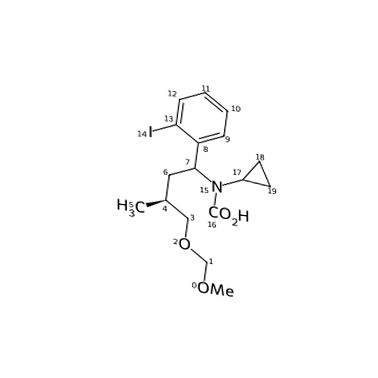 COCOC[C@@H](C)CC(c1ccccc1I)N(C(=O)O)C1CC1